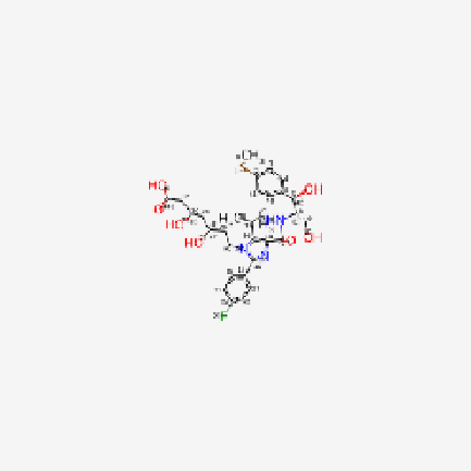 CSc1ccc([C@@H](O)[C@H](CO)NC(=O)c2nc(-c3ccc(F)cc3)n(CC[C@@H](O)C[C@@H](O)CC(=O)O)c2C(C)C)cc1